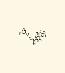 Cc1nc(N[C@H]2C[C@@H](COc3cncc(F)c3)C2)nc2c1NC(=O)[C@H](C)N2C